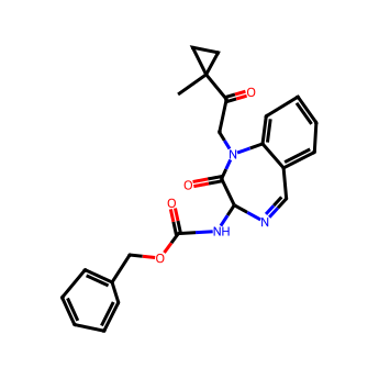 CC1(C(=O)CN2C(=O)C(NC(=O)OCc3ccccc3)N=Cc3ccccc32)CC1